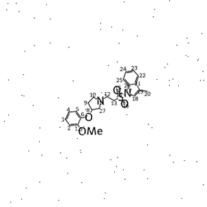 COc1ccccc1OC1CCN(CCS(=O)(=O)n2cc(C)c3ccccc32)C1